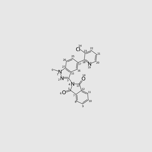 Cn1nc(N2C(=O)c3ccccc3C2=O)c2cc(-c3ncccc3Cl)ccc21